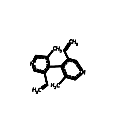 C=Cc1cncc(C)c1-c1c(C)cncc1C=C